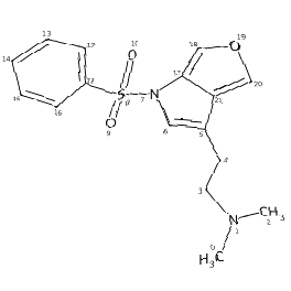 CN(C)CCc1cn(S(=O)(=O)c2ccccc2)c2cocc12